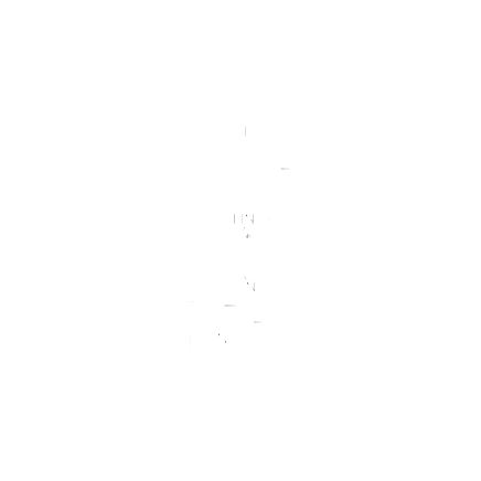 O=C(N[C@@H]1CCC[C@H](Nc2cc(C(F)(F)F)nc3ccccc23)C1)c1ccc(F)c(OC(F)(F)F)c1